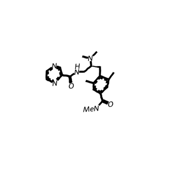 CNC(=O)c1cc(C)c(C[C@@H](CNC(=O)c2cnccn2)N(C)C)c(C)c1